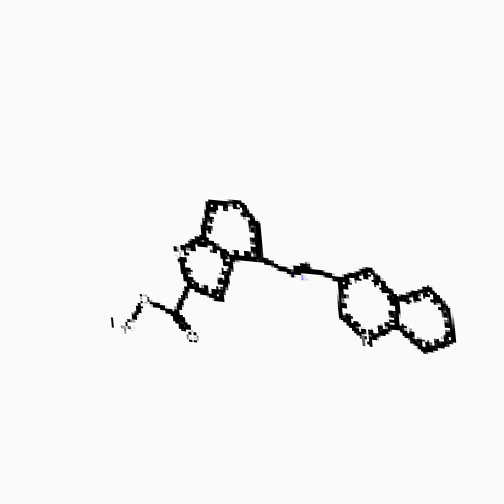 COC(=O)c1cc2c(/C=C/c3cnc4ccccc4c3)cccc2s1